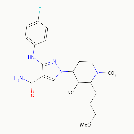 COCCCC1C(C#N)C(n2cc(C(N)=O)c(Nc3ccc(F)cc3)n2)CCN1C(=O)O